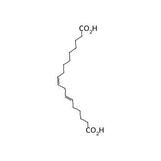 O=C(O)CCCCC=CC/C=C\CCCCCCCC(=O)O